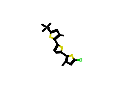 Cc1cc(Cl)sc1-c1ccc(-c2s[c]([Sn]([CH3])([CH3])[CH3])cc2C)s1